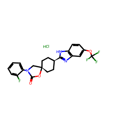 Cl.O=C1O[C@]2(CC[C@H](c3nc4cc(OC(F)(F)F)ccc4[nH]3)CC2)CN1c1ccccc1F